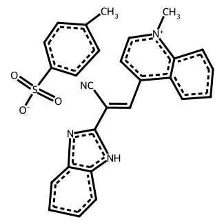 C[n+]1ccc(/C=C(\C#N)c2nc3ccccc3[nH]2)c2ccccc21.Cc1ccc(S(=O)(=O)[O-])cc1